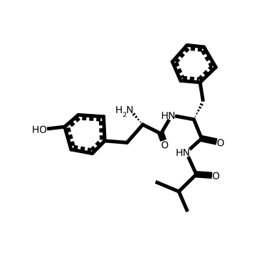 CC(C)C(=O)NC(=O)[C@@H](Cc1ccccc1)NC(=O)[C@@H](N)Cc1ccc(O)cc1